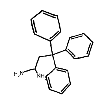 NC(N)CC(c1ccccc1)(c1ccccc1)c1ccccc1